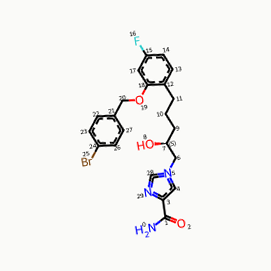 NC(=O)c1cn(C[C@@H](O)CCCc2ccc(F)cc2OCc2ccc(Br)cc2)cn1